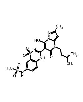 Cc1cc2n(CCC(C)C)c(=O)c(C3=NS(=O)(=O)c4cc(NS(C)(=O)=O)ccc4N3)c(O)n2n1